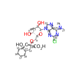 C#C[C@@H](O)[C@@H](O[C@@H](CO)COC(Cc1ccccc1)(C(=O)O)C(=O)O)n1cnc2c(N(C)C)nc(Cl)nc21